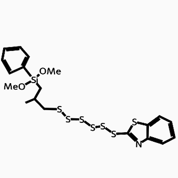 CO[Si](CC(C)CSSSSSSc1nc2ccccc2s1)(OC)c1ccccc1